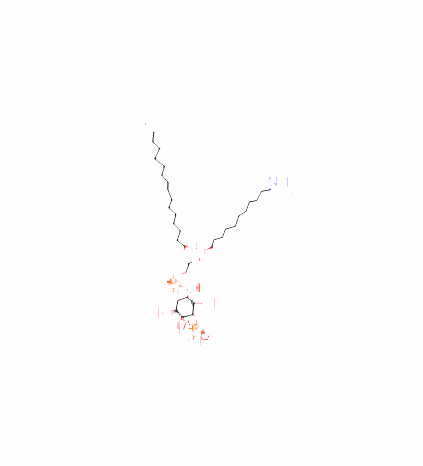 CCCCCCCCCCCCCCCC(=O)O[C@H](COC(=O)CCCCCCCCCCN)COP(=O)(O)OC1C(O)[C@@H](O)C(OP(=O)(O)O)[C@@H](O)[C@H]1O